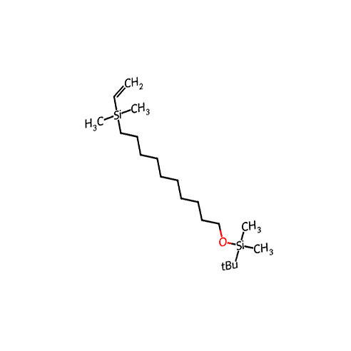 C=C[Si](C)(C)CCCCCCCCCCO[Si](C)(C)C(C)(C)C